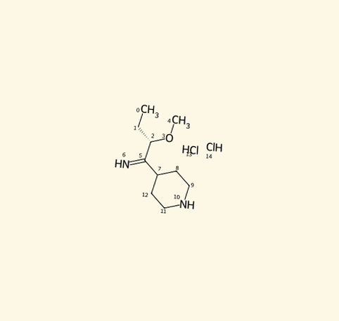 CC[C@H](OC)C(=N)C1CCNCC1.Cl.Cl